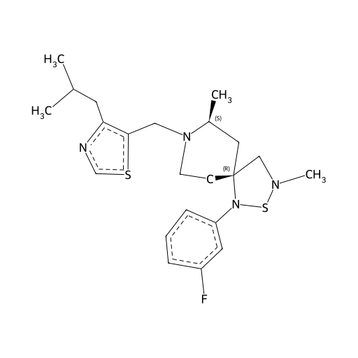 CC(C)Cc1ncsc1CN1CC[C@@]2(C[C@@H]1C)CN(C)SN2c1cccc(F)c1